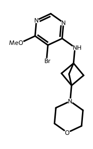 COc1ncnc(NC23CC(N4CCOCC4)(C2)C3)c1Br